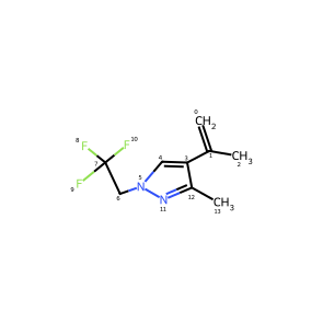 C=C(C)c1cn(CC(F)(F)F)nc1C